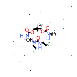 CCCC(C)(COC(N)=O)COC(=O)NC(C)C.O=NN(CCCl)C(=O)NCCCl